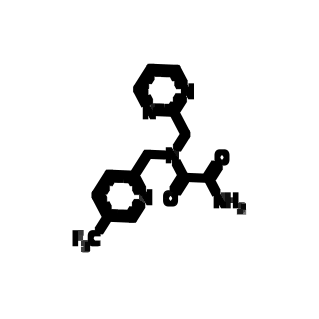 NC(=O)C(=O)N(Cc1ccc(C(F)(F)F)cn1)Cc1ncccn1